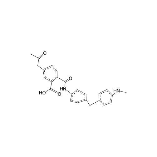 CNc1ccc(Cc2ccc(NC(=O)c3ccc(CC(C)=O)cc3C(=O)O)cc2)cc1